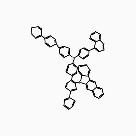 C1=CC(c2ccc(-c3ccc(N(c4ccc(-c5ccc(-c6ccccc6)cc5-n5c6ccccc6c6cc7ccccc7cc65)cc4)c4ccc(-c5cccc6ccccc56)cc4)cc3)cc2)=CCC1